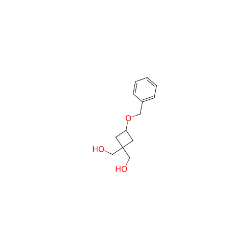 OCC1(CO)CC(OCc2ccccc2)C1